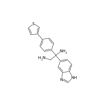 NCC(N)(c1ccc(-c2ccsc2)cc1)c1ccc2[nH]cnc2c1